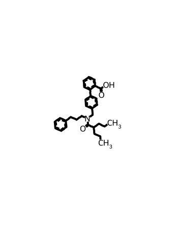 CCCC(CCC)C(=O)N(CCCc1ccccc1)Cc1ccc(-c2ccccc2C(=O)O)cc1